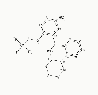 Cl.FC(F)(F)COc1ccccc1CN[C@H]1CCCN[C@H]1c1ccccc1